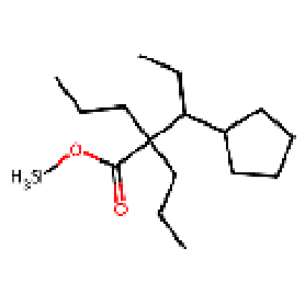 CCCC(CCC)(C(=O)O[SiH3])C(CC)C1CCCC1